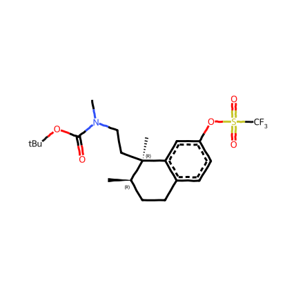 C[C@@H]1CCc2ccc(OS(=O)(=O)C(F)(F)F)cc2[C@]1(C)CCN(C)C(=O)OC(C)(C)C